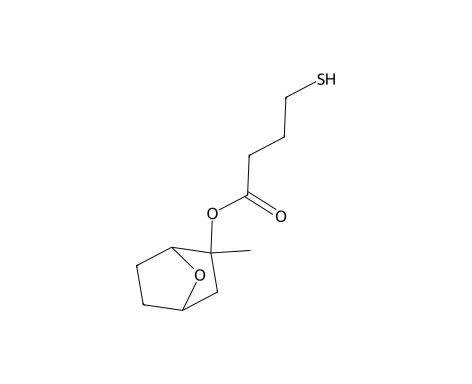 CC1(OC(=O)CCCS)CC2CCC1O2